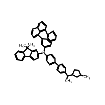 CC1CCC(C(C)c2ccc(-c3ccc(N(c4cccc(-c5cccc6cccc(-c7ccccc7)c56)c4)c4ccc5c(c4)C(C)(C)c4ccccc4-5)cc3)cc2)C1